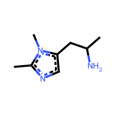 Cc1ncc(CC(C)N)n1C